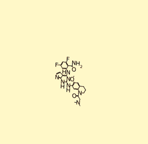 COc1cc2c(cc1Nc1nc(Nc3cc(F)cc(F)c3C(N)=O)c3ccnc-3[nH]1)N(C(=O)CN(C)C)CCC2